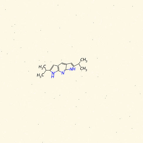 CC(C)c1cc2cc3cc(C(C)C)[nH]c3nc2[nH]1